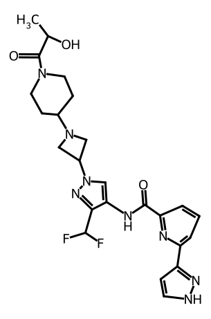 CC(O)C(=O)N1CCC(N2CC(n3cc(NC(=O)c4cccc(-c5cc[nH]n5)n4)c(C(F)F)n3)C2)CC1